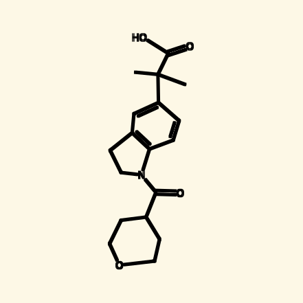 CC(C)(C(=O)O)c1ccc2c(c1)CCN2C(=O)C1CCOCC1